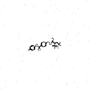 Cc1ccc(OC(=O)C2CCC(COC(=O)C3CC(C)(C)N(C)C3(C)C)CC2)cc1